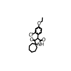 CCOc1ccc(C2C(=O)NC3(CCCCCC3)C2=O)c(Cl)c1